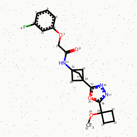 O=C(COc1cccc(F)c1)NC12CC(c3nnc(C4(OC(F)(F)F)CCC4)o3)(C1)C2